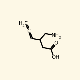 C=C=CC(CN)CC(=O)O